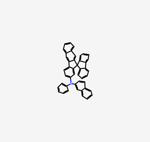 c1ccc(N(c2ccc3c(c2)C2(c4ccccc4-c4ccccc42)c2cc4ccccc4cc2-3)c2ccc3ccccc3c2)cc1